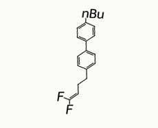 CCCCc1ccc(-c2ccc(CCC=C(F)F)cc2)cc1